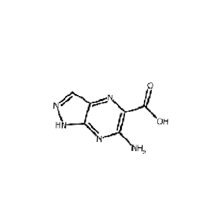 Nc1nc2[nH]ncc2nc1C(=O)O